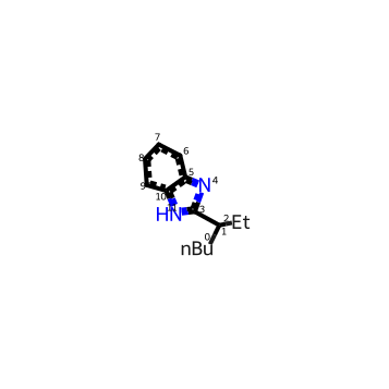 CCCCC(CC)c1nc2ccccc2[nH]1